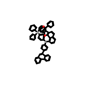 c1ccc(-c2cccc3oc4c(ccc5cccc(N(c6ccc(-c7cc8ccccc8c8ccccc78)cc6)c6ccc([Si](c7ccccc7)(c7ccccc7)c7ccccc7)cc6)c54)c23)cc1